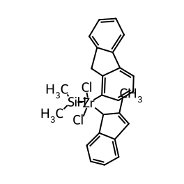 CC1=Cc2ccccc2[CH]1[Zr]([Cl])([Cl])([c]1cccc2c1Cc1ccccc1-2)[SiH](C)C